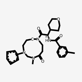 Cc1cccc(C(=O)N[C@@H](C(=O)N2CCCN(c3ccccc3)CN(C)C(=O)CC2)C2CCOCC2)c1